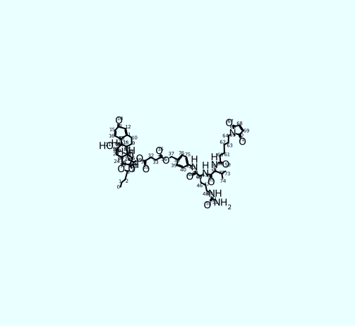 CCCC1O[C@@H]2C[C@H]3[C@@H]4CCC5=CC(=O)C=C[C@]5(C)[C@H]4[C@@H](O)C[C@]3(C)[C@]2(C(=O)COC(=O)CCC(=O)OCc2ccc(NC(=O)[C@H](CCCNC(N)=O)NC(=O)C(NC(=O)CCCCCN3C(=O)C=CC3=O)C(C)C)cc2)O1